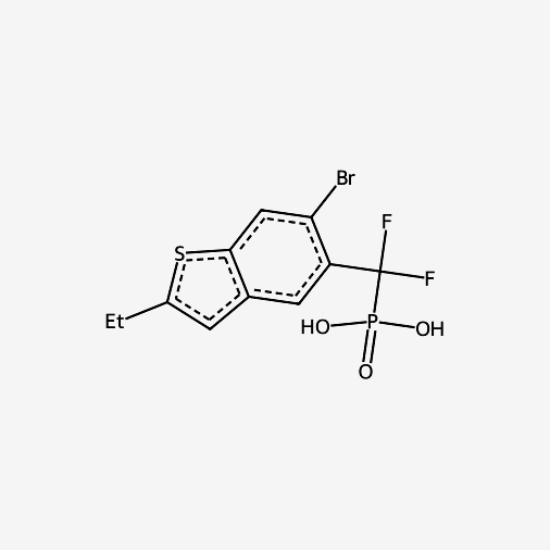 CCc1cc2cc(C(F)(F)P(=O)(O)O)c(Br)cc2s1